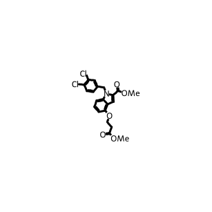 COC(=O)CCOc1cccc2c1cc(C(=O)OC)n2Cc1ccc(Cl)c(Cl)c1